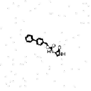 O=C(N[C@@H]1CNC1=O)OCc1ccc(-c2ccccc2)cc1